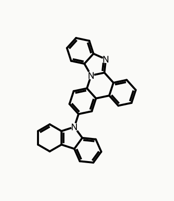 C1=Cc2c(c3ccccc3n2-c2ccc3c(c2)c2ccccc2c2nc4ccccc4n32)CC1